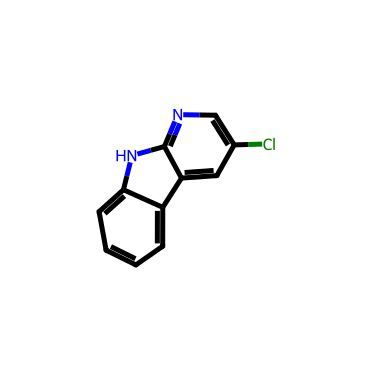 Clc1cnc2[nH]c3ccccc3c2c1